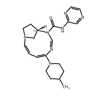 CC1CCN(C2=CC=CN3CC[C@@H](C3)N(C(=O)Nc3cnccn3)C=N2)CC1